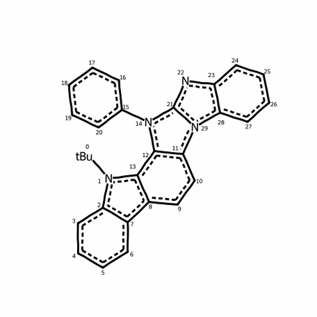 CC(C)(C)n1c2ccccc2c2ccc3c(c21)n(-c1ccccc1)c1nc2ccccc2n31